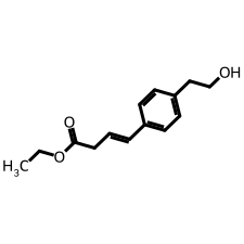 CCOC(=O)CC=Cc1ccc(CCO)cc1